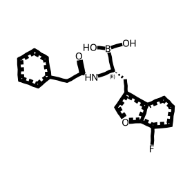 O=C(Cc1ccccc1)N[C@@H](Cc1coc2c(F)cccc12)B(O)O